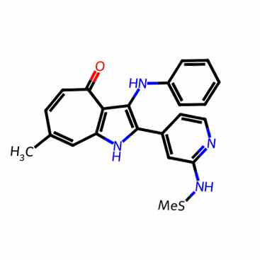 CSNc1cc(-c2[nH]c3cc(C)ccc(=O)c3c2Nc2ccccc2)ccn1